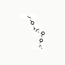 C#COP(=O)(OC#C)OCc1ccc(NC(=O)c2ccccc2Nc2nc(=O)c3nc(CNc4ccc(C(=O)N[C@@H](CCC(=O)O)C(=O)O)cc4)cnc3[nH]2)cc1